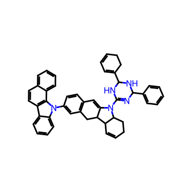 C1=CCCC(C2NC(N3C4=Cc5ccc(-n6c7ccccc7c7ccc8ccccc8c76)cc5CC4C4C=CCCC43)=NC(c3ccccc3)N2)=C1